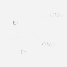 CCC(C)(CC)C(COC)OC